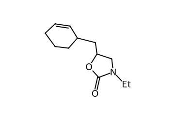 CCN1CC(CC2C=CCCC2)OC1=O